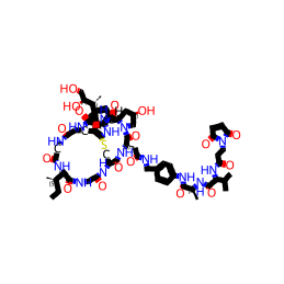 CC[C@H](C)[C@@H]1NC(=O)CNC(=O)C2Cc3c([nH]c4ccccc34)SCC(NC(=O)CNC1=O)C(=O)N[C@@H](CC(=O)NCc1ccc(NC(=O)[C@H](C)NC(=O)C(NC(=O)CCN3C(=O)C=CC3=O)C(C)C)cc1)C(=O)N1C[C@H](O)C[C@H]1C(=O)N[C@@H]([C@@H](C)[C@@H](O)CO)C(=O)N2